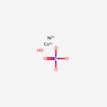 O=P([O-])([O-])[O-].[Co+2].[Ni+2].[OH-]